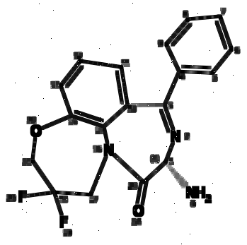 N[C@H]1N=C(c2ccccc2)c2cccc3c2N(CC(F)(F)CO3)C1=O